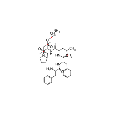 CCOC(=O)CN1CC2CCC(C1)N2C(=O)C(CCCCN)NC(=O)C(CC(C)C)NC(=O)C(Cc1ccccc1)NC(=O)C(N)Cc1ccccc1